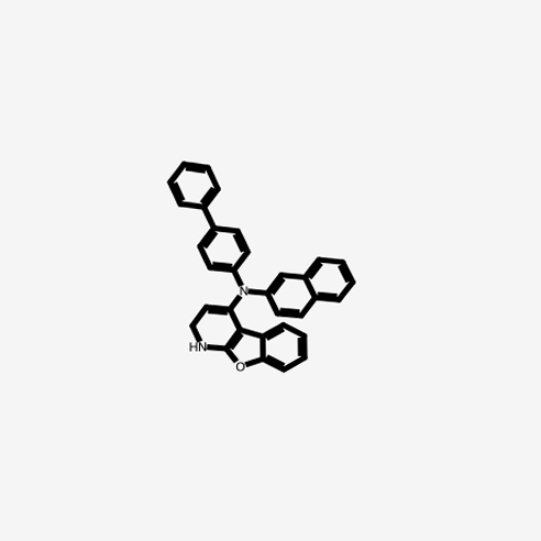 C1=C(N(c2ccc(-c3ccccc3)cc2)c2ccc3ccccc3c2)c2c(oc3ccccc23)NC1